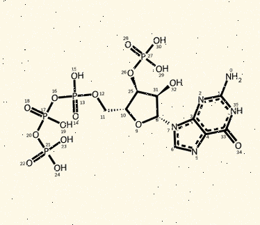 Nc1nc2c(ncn2[C@@H]2O[C@H](COP(=O)(O)OP(=O)(O)OP(=O)(O)O)[C@@H](OP(=O)(O)O)[C@H]2O)c(=O)[nH]1